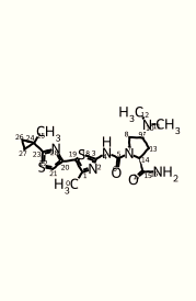 Cc1nc(NC(=O)N2C[C@H](N(C)C)C[C@H]2C(N)=O)sc1-c1csc(C2(C)CC2)n1